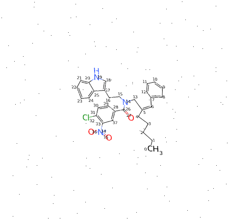 CCCCC/C(=C/c1ccccc1)CN(CCc1c[nH]c2ccccc12)C(=O)c1ccc(Cl)c([N+](=O)[O-])c1